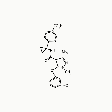 CN1N=C(C(F)(F)F)C(C(=O)NC2(c3ccc(C(=O)O)cc3)CC2)C1Oc1cccc(Cl)c1